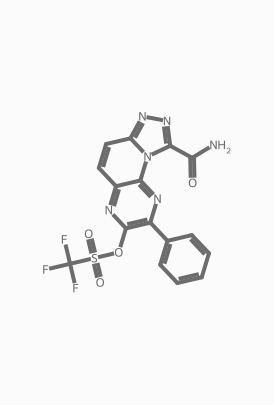 NC(=O)c1nnc2ccc3nc(OS(=O)(=O)C(F)(F)F)c(-c4ccccc4)nc3n12